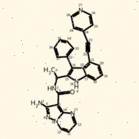 CC(NC(=O)c1c(N)nn2cccnc12)c1[nH]c2cccc(C#Cc3ccncc3)c2c1-c1ccccc1